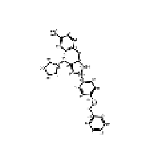 Clc1ccc(CC2NN(c3ccc(OCc4ccccc4)cc3)C=C2CN2CCCC2)cc1